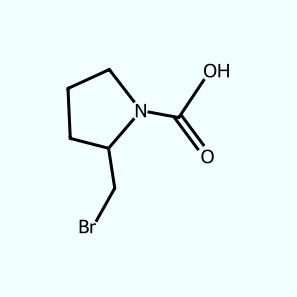 O=C(O)N1CCCC1CBr